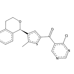 Cc1sc(C(=O)c2cncnc2Cl)cc1[C@@H]1OCCc2ccccc21